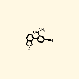 N#Cc1ccc(-c2cccc3c2CNC3)c(C(N)=O)c1